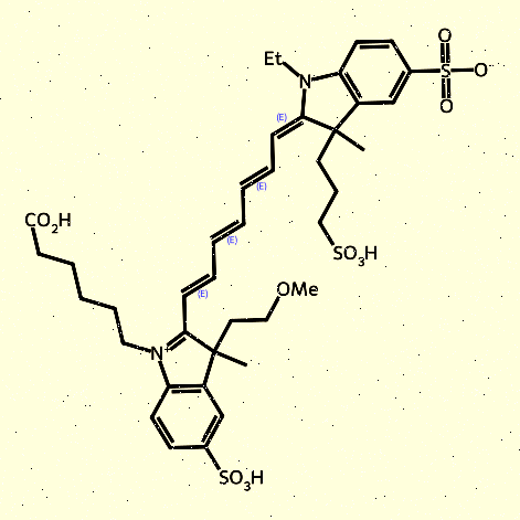 CCN1/C(=C/C=C/C=C/C=C/C2=[N+](CCCCCC(=O)O)c3ccc(S(=O)(=O)O)cc3C2(C)CCOC)C(C)(CCCS(=O)(=O)O)c2cc(S(=O)(=O)[O-])ccc21